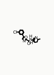 CC1CC2CCN1C[C@@H]2NC(=O)c1ncc(-c2cccc(Cl)c2)o1